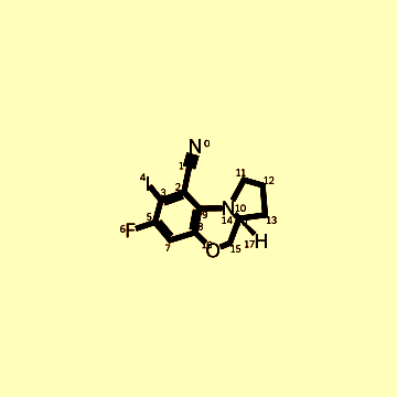 N#Cc1c(I)c(F)cc2c1N1CCC[C@@H]1CO2